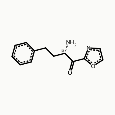 N[C@@H](CCc1ccccc1)C(=O)c1ncco1